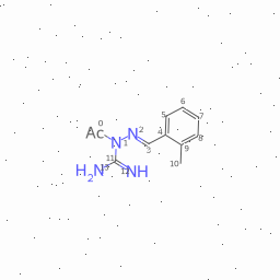 CC(=O)N(/N=C/c1ccccc1C)C(=N)N